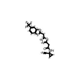 N#CC1(NC(=O)Cc2nnc(Cc3nc4cc(C(F)(F)F)ccc4s3)o2)CC1